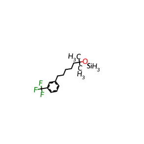 CC(C)(CCCCCc1cccc(C(F)(F)F)c1)O[SiH3]